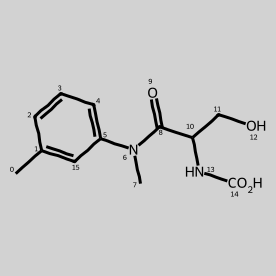 Cc1cccc(N(C)C(=O)C(CO)NC(=O)O)c1